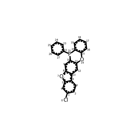 Clc1ccc2c(c1)oc1cc3c(cc12)Oc1ccccc1P3c1ccccc1